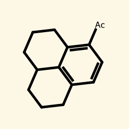 CC(=O)c1ccc2c3c1CCCC3CCC2